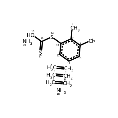 C=C.C=C.C=C.Cc1c(Cl)cccc1SC(O)=S.N.N